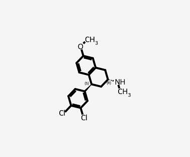 CN[C@H]1Cc2cc(OC)ccc2[C@H](c2ccc(Cl)c(Cl)c2)C1